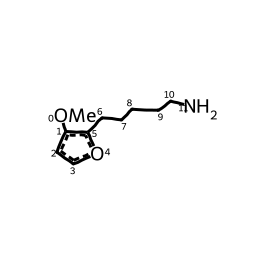 COc1ccoc1CCCCCN